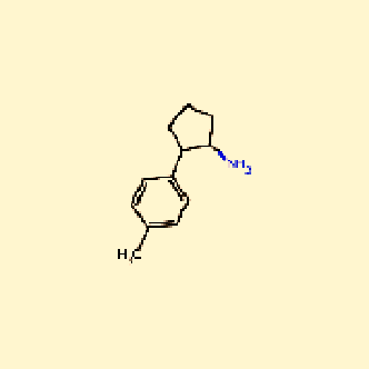 Cc1ccc(C2CCC[C@H]2N)cc1